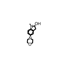 CN1c2ccc(N3CCOCC3)cc2CC1O